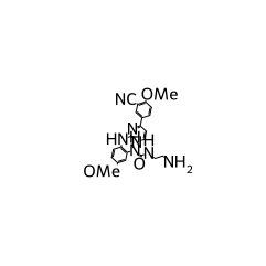 COc1ccc(Nc2nccc(-c3ccc(OC)c(C#N)c3)n2)c(NC(=O)NCCN)c1